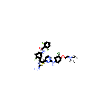 CN(C)CCOc1ccc(Nc2nccc(-c3sc(N)nc3-c3cc(NC(=O)c4c(F)cccc4F)ccc3F)n2)cc1Cl